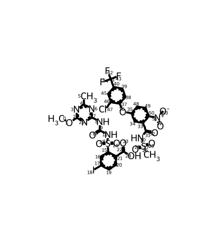 COc1nc(C)nc(NC(=O)NS(=O)(=O)c2cc(I)ccc2C(=O)O)n1.CS(=O)(=O)NC(=O)c1cc(Oc2ccc(C(F)(F)F)cc2Cl)ccc1[N+](=O)[O-]